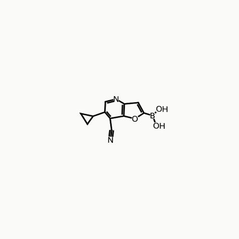 N#Cc1c(C2CC2)cnc2cc(B(O)O)oc12